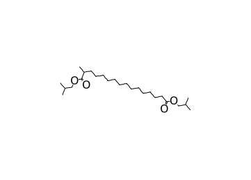 CC(C)COC(=O)CCCCCCCCCCCCCC(C)C(=O)OCC(C)C